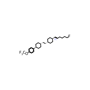 FCCCC/C=C/[C@H]1CC[C@H](CC[C@H]2CC[C@H](c3ccc(OC(F)(F)F)cc3)CC2)CC1